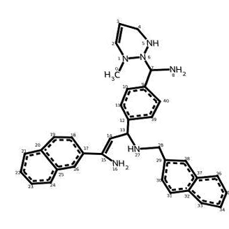 CN1C=CCNN1C(N)c1ccc(C(/C=C(\N)c2ccc3ccccc3c2)NCc2ccc3ccccc3c2)cc1